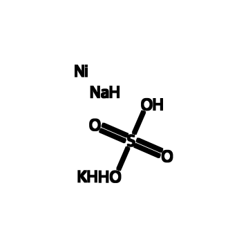 O=S(=O)(O)O.[KH].[NaH].[Ni]